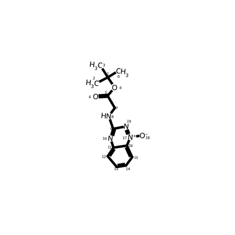 CC(C)(C)OC(=O)CNc1nc2ccccc2[n+]([O-])n1